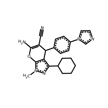 Cn1nc(C2CCCCC2)c2c1OC(N)=C(C#N)C2c1ccc(-n2ccnc2)cc1